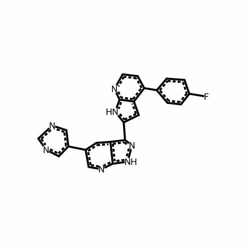 Fc1ccc(-c2ccnc3[nH]c(-c4n[nH]c5ncc(-c6cncnc6)cc45)cc23)cc1